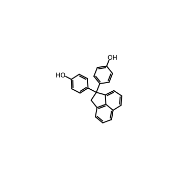 Oc1ccc(C2(c3ccc(O)cc3)Cc3cccc4cccc2c34)cc1